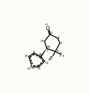 O=C1CCC(F)(F)[C@@H](c2ccncc2)C1